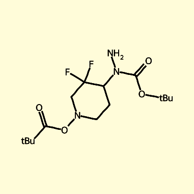 CC(C)(C)OC(=O)N(N)C1CCN(OC(=O)C(C)(C)C)CC1(F)F